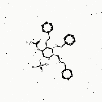 CC(=O)N[C@H]1[C@@H](OCc2ccccc2)[C@H](OCc2ccccc2)[C@@H](COCc2ccccc2)O[C@@H]1CP(=O)(O)O